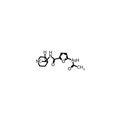 CC(=O)[AsH]c1ccc(C(=O)N[C@H]2CN3CCC2CC3)o1